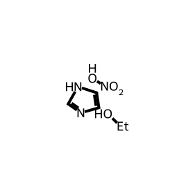 CCO.O=[N+]([O-])O.c1c[nH]cn1